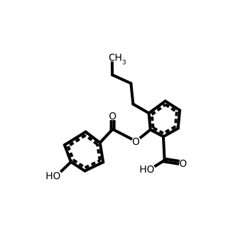 CCCCc1cccc(C(=O)O)c1OC(=O)c1ccc(O)cc1